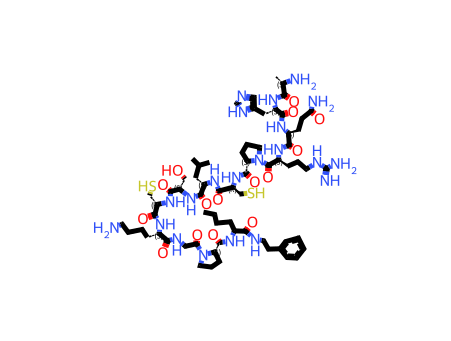 CCCCC(NC(=O)[C@@H]1CCCN1C(=O)CNC(=O)[C@H](CCCCN)NC(=O)[C@H](CS)NC(=O)[C@H](CO)NC(=O)[C@H](CC(C)C)NC(=O)[C@H](CS)NC(=O)[C@@H]1CCCN1C(=O)[C@H](CCCNC(=N)N)NC(=O)[C@H](CCC(N)=O)NC(=O)[C@H](Cc1cnc[nH]1)NC(=O)[C@H](C)N)C(=O)NCCc1ccccc1